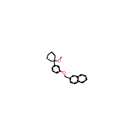 COC1(c2cccc(OCc3ccc4ccccc4c3)c2)CCCCC1